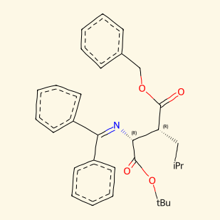 CC(C)C[C@@H](C(=O)OCc1ccccc1)[C@@H](N=C(c1ccccc1)c1ccccc1)C(=O)OC(C)(C)C